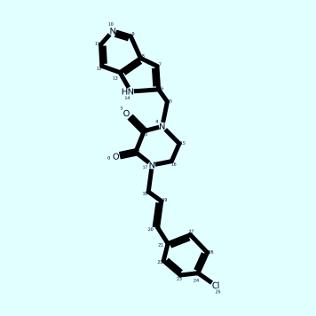 O=C1C(=O)N(Cc2cc3cnccc3[nH]2)CCN1CC=Cc1ccc(Cl)cc1